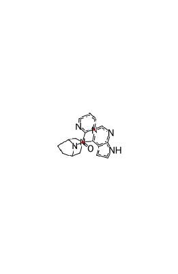 O=C(c1ccccn1)N1C2CCC1CN(c1ncnc3[nH]ccc13)C2